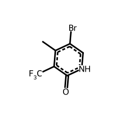 Cc1c(Br)c[nH]c(=O)c1C(F)(F)F